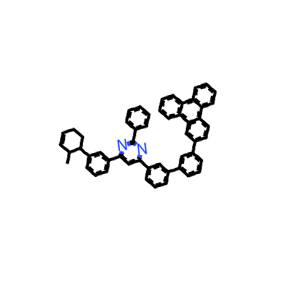 CC1C=CCCC1c1cccc(-c2cc(-c3cccc(-c4cccc(-c5ccc6c7ccccc7c7ccccc7c6c5)c4)c3)nc(-c3ccccc3)n2)c1